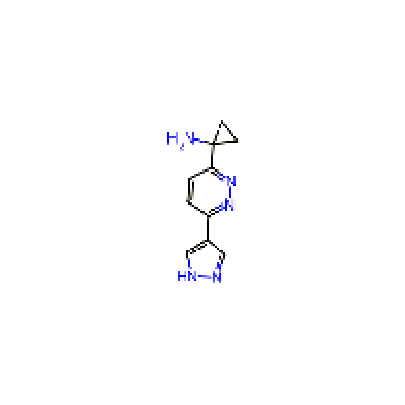 NC1(c2ccc(-c3cn[nH]c3)nn2)CC1